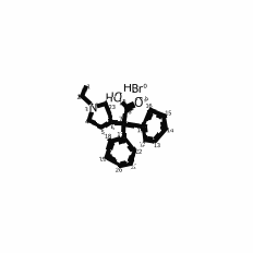 Br.CCN1CCC(C(C(=O)O)(c2ccccc2)c2ccccc2)C1